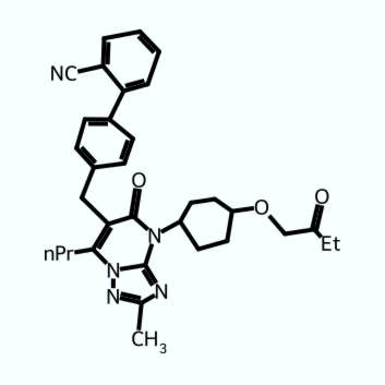 CCCc1c(Cc2ccc(-c3ccccc3C#N)cc2)c(=O)n(C2CCC(OCC(=O)CC)CC2)c2nc(C)nn12